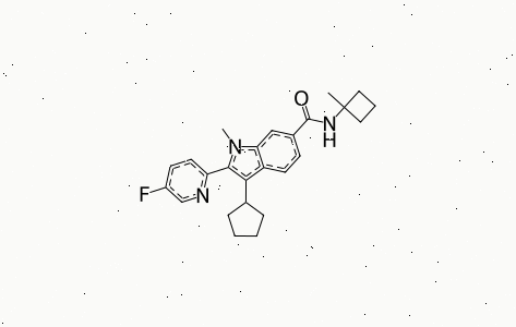 Cn1c(-c2ccc(F)cn2)c(C2CCCC2)c2ccc(C(=O)NC3(C)CCC3)cc21